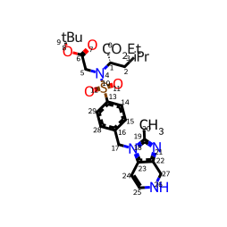 CCOC(=O)[C@H](CC(C)C)N(CC(=O)OC(C)(C)C)S(=O)(=O)c1ccc(Cn2c(C)nc3c2C=CNC3)cc1